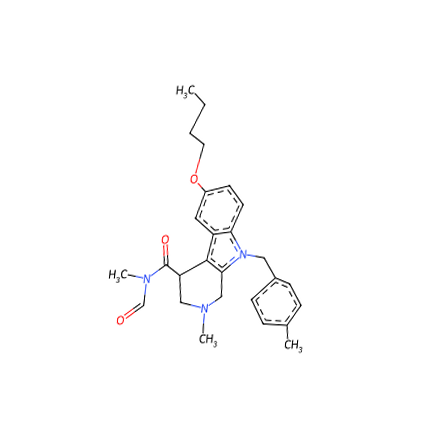 CCCCOc1ccc2c(c1)c1c(n2Cc2ccc(C)cc2)CN(C)CC1C(=O)N(C)C=O